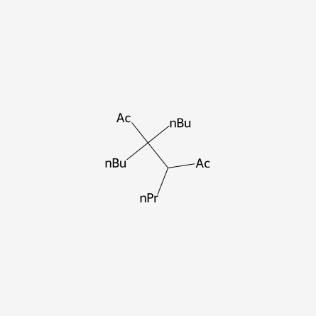 CCCCC(CCCC)(C(C)=O)C(CCC)C(C)=O